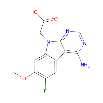 COc1cc2c(cc1F)c1c(N)ncnc1n2CC(=O)O